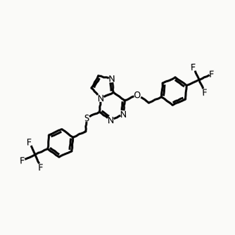 FC(F)(F)c1ccc(COc2nnc(SCc3ccc(C(F)(F)F)cc3)n3ccnc23)cc1